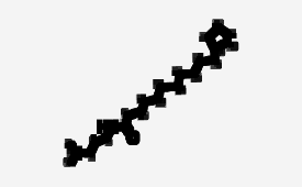 CN(C)CCCNC(=O)CCCCCCCCCCC1CCCC1